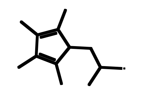 [CH2]C(C)CC1C(C)=C(C)C(C)=C1C